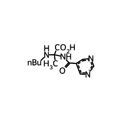 CCCCNC(C)(NC(=O)c1cncnc1)C(=O)O